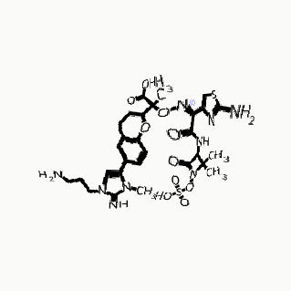 Cn1c(-c2ccc3c(c2)CCC(C(C)(O/N=C(\C(=O)NC2C(=O)N(OS(=O)(=O)O)C2(C)C)c2csc(N)n2)C(=O)O)O3)cn(CCCN)c1=N